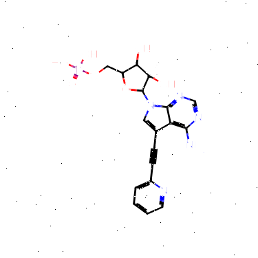 C[C@@]1(O)C(O)C(COP(=O)(O)O)OC1n1cc(C#Cc2ccccn2)c2c(N)ncnc21